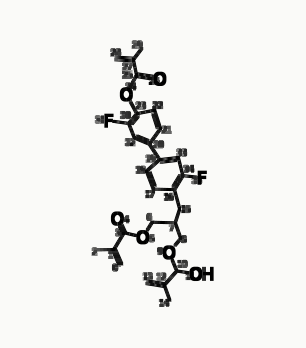 C=C(C)C(=O)OCC(COC(O)C(=C)C)Cc1ccc(-c2ccc(OC(=O)C(=C)C)c(F)c2)cc1F